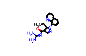 CCc1c(C(=O)N=C(N)N)cnn1-c1cccc2cccnc12